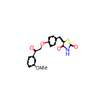 COc1cccc(C(=O)COc2ccc(C=C3SC(=O)NC3=O)cc2)c1